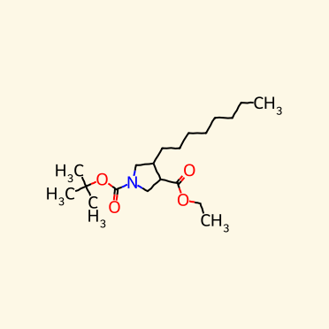 CCCCCCCCC1CN(C(=O)OC(C)(C)C)CC1C(=O)OCC